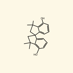 CC1(C)CC2(CC(C)(C)c3c(O)cccc32)c2cccc(O)c21